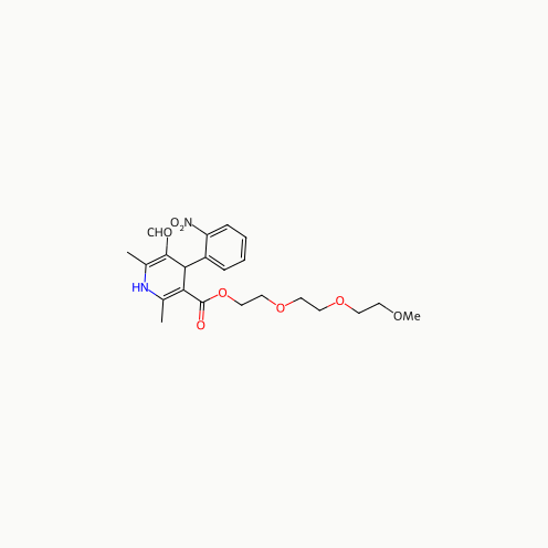 COCCOCCOCCOC(=O)C1=C(C)NC(C)=C(C=O)C1c1ccccc1[N+](=O)[O-]